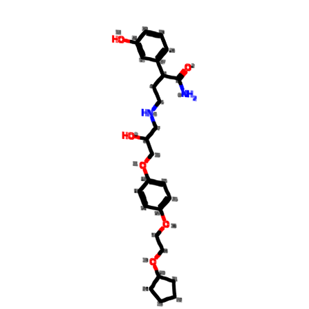 NC(=O)C(CCNCC(O)COc1ccc(OCCOC2CCCC2)cc1)c1cccc(O)c1